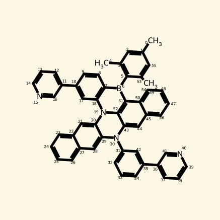 Cc1cc(C)c(B2c3ccc(-c4cccnc4)cc3N3c4cc5ccccc5cc4N(c4cccc(-c5cccnc5)c4)c4cc5ccccc5c2c43)c(C)c1